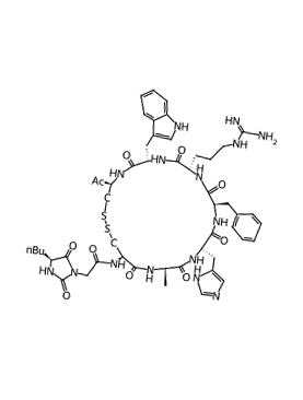 CCCC[C@@H]1NC(=O)N(CC(=O)N[C@H]2CSSC[C@@H](C(C)=O)NC(=O)[C@H](Cc3c[nH]c4ccccc34)NC(=O)[C@H](CCCNC(=N)N)NC(=O)[C@@H](Cc3ccccc3)NC(=O)[C@H](Cc3cnc[nH]3)NC(=O)[C@@H](C)NC2=O)C1=O